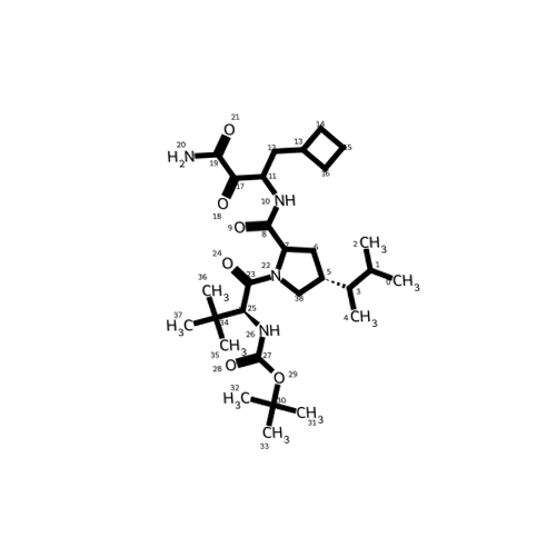 CC(C)C(C)[C@H]1CC(C(=O)NC(CC2CCC2)C(=O)C(N)=O)N(C(=O)[C@@H](NC(=O)OC(C)(C)C)C(C)(C)C)C1